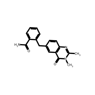 Cc1nc2ccc(Cc3ccccc3C(N)=O)cc2c(=O)n1C